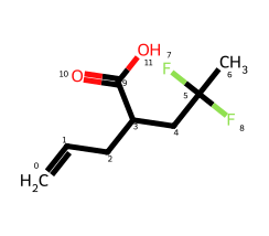 C=CCC(CC(C)(F)F)C(=O)O